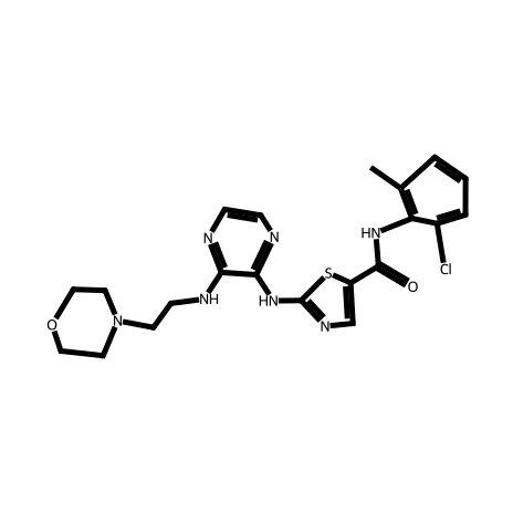 Cc1cccc(Cl)c1NC(=O)c1cnc(Nc2nccnc2NCCN2CCOCC2)s1